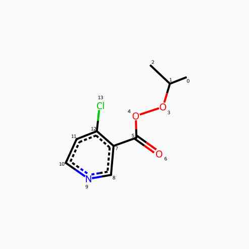 CC(C)OOC(=O)c1cnccc1Cl